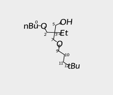 CCCCOCC(CC)(CO)COCCCC(C)(C)C